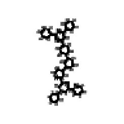 c1ccc(-c2cc(-c3ccccn3)nc(-c3cc(-c4cccc(-c5ccc(-c6cc(-c7ccccc7)nc(-c7ccccc7)n6)cc5)c4)ccn3)c2)cc1